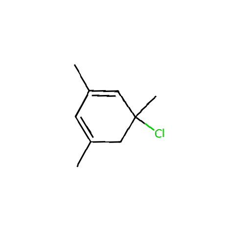 CC1=CC(C)(Cl)CC(C)=C1